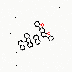 c1ccc2c(-c3c4ccccc4c(-c4ccc(-c5cc6c7ccccc7oc6c6cc7oc8ccccc8c7cc56)c5ccccc45)c4ccccc34)cccc2c1